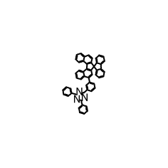 c1ccc(-c2nc(-c3ccccc3)nc(-c3cccc(-c4cc5c(c6ccccc46)-c4c(ccc6ccccc46)C54c5ccccc5-c5ccccc54)c3)n2)cc1